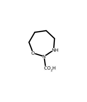 O=C(O)N1NCCCCO1